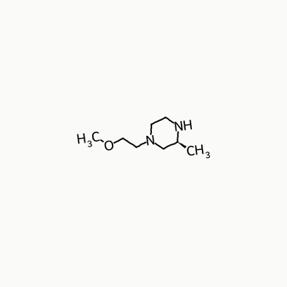 COCCN1CCN[C@@H](C)C1